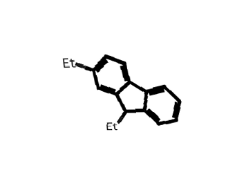 CCc1ccc2c(c1)C(CC)c1ccccc1-2